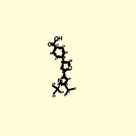 CC(C)c1cc(-c2cc(-c3ccc(C(=O)O)cc3)co2)nn1C(C)(C)C